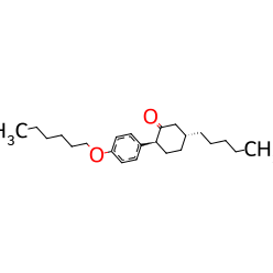 CCCCCCOc1ccc([C@@H]2CC[C@@H](CCCCC)CC2=O)cc1